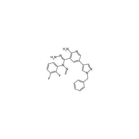 C=NN(/C(=N\N)c1cc(-c2cnn(Cc3ccccc3)c2)cnc1N)c1cccc(F)c1F